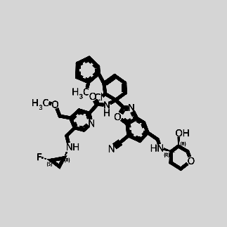 COCc1cc(C(=O)NC2(c3nc4cc(CN[C@@H]5CCOC[C@@H]5O)cc(C#N)c4o3)C=CC=C(c3ccccc3C)C2Cl)ncc1CN[C@@H]1C[C@@H]1F